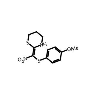 COc1ccc(SC(=C2NCCCS2)[N+](=O)[O-])cc1